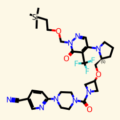 C[Si](C)(C)CCOCn1ncc(N2CCC[C@H]2COC2CN(C(=O)N3CCN(c4ccc(C#N)cn4)CC3)C2)c(C(F)(F)F)c1=O